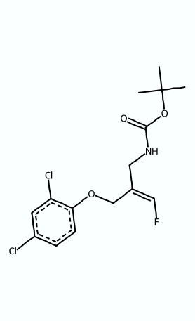 CC(C)(C)OC(=O)NC/C(=C/F)COc1ccc(Cl)cc1Cl